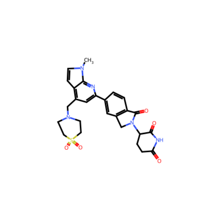 Cn1ccc2c(CN3CCS(=O)(=O)CC3)cc(-c3ccc4c(c3)CN(C3CCC(=O)NC3=O)C4=O)nc21